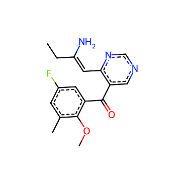 CCC(N)=Cc1ncncc1C(=O)c1cc(F)cc(C)c1OC